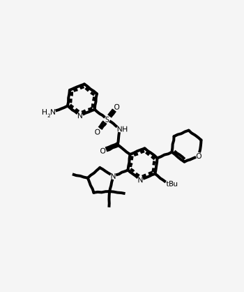 CC1CN(c2nc(C(C)(C)C)c(C3=COCCC3)cc2C(=O)NS(=O)(=O)c2cccc(N)n2)C(C)(C)C1